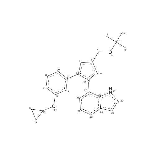 CC(C)(C)OCc1cc(-c2cccc(OC3CC3)c2)n(-c2cccc3cn[nH]c23)n1